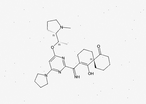 C[C@H](Oc1cc(N2CCCC2)nc(C(=N)C2=C(O)[C@]3(CCCCC3=O)CCC2)n1)[C@@H]1CCCN1C